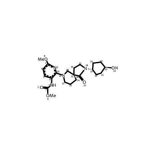 COC(=O)Nc1ccc(OC)nc1N1CCC[C@]2(CCN([C@H]3CC[C@H](O)CC3)C2=O)C1